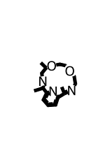 C/C1=N\CCOCCOC(C)C/N=C(\C)c2cccc1n2